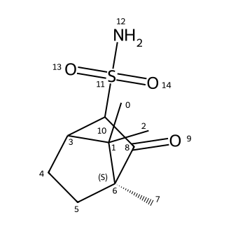 CC1(C)C2CC[C@]1(C)C(=O)C2S(N)(=O)=O